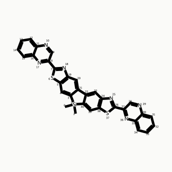 C[Si]1(C)c2cc3sc(-c4cnc5ccccc5n4)nc3cc2-c2cc3nc(-c4cnc5ccccc5n4)sc3cc21